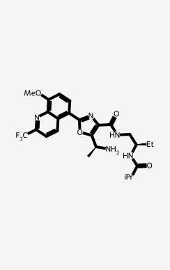 CC[C@H](CNC(=O)c1nc(-c2ccc(OC)c3nc(C(F)(F)F)ccc23)oc1[C@H](C)N)NC(=O)C(C)C